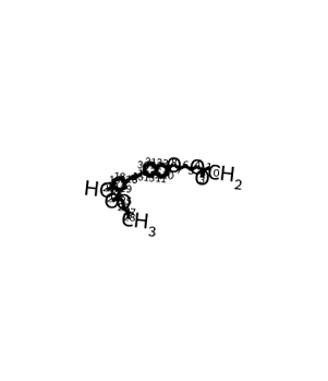 C=CC(=O)OCCCOc1ccc2cc(C#Cc3ccc(O)c(C(=O)OCCC)c3)ccc2c1